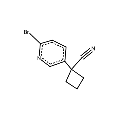 N#CC1(c2ccc(Br)nc2)CCC1